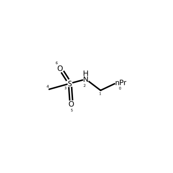 [CH2]CCCNS(C)(=O)=O